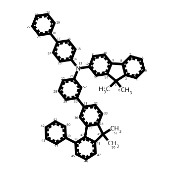 CC1(C)c2ccccc2-c2ccc(N(c3ccc(-c4ccccc4)cc3)c3cccc(-c4ccc5c(c4)-c4c(-c6ccccc6)cccc4C5(C)C)c3)cc21